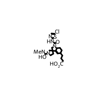 CNC(O)N1CCC2(C1)CN(C(=O)Nc1ncc(Cl)s1)C1CCC(CCCC(=O)O)C=C12